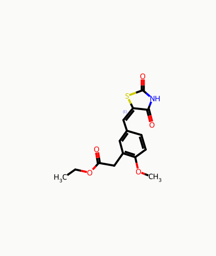 CCOC(=O)Cc1cc(/C=C2/SC(=O)NC2=O)ccc1OC